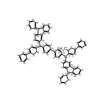 CC1CC(c2ccccc2)=CC=C1N(c1ccc(-c2ccc(N(C3=CC=C(c4ccccc4)CC3)c3ccc4c(c3)c3ccccc3n4-c3ccccc3)cc2)cc1)c1ccc2c(c1)c1ccccc1n2C1C=CC=CC1